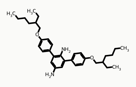 CCCCC(CC)COc1ccc(-c2cc(N)cc(-c3ccc(OCC(CC)CCCC)cc3)c2N)cc1